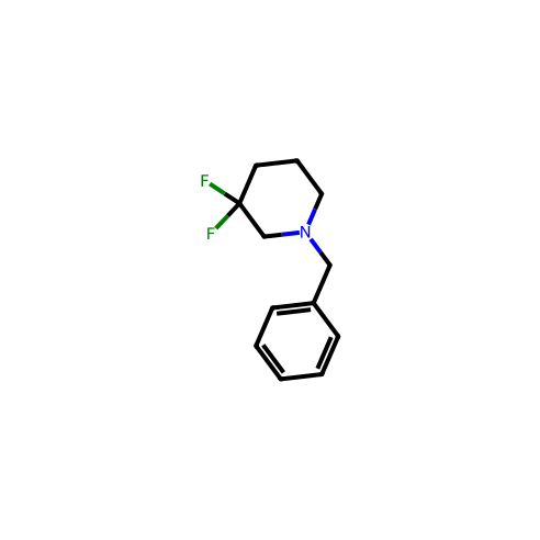 FC1(F)CCCN(Cc2ccccc2)C1